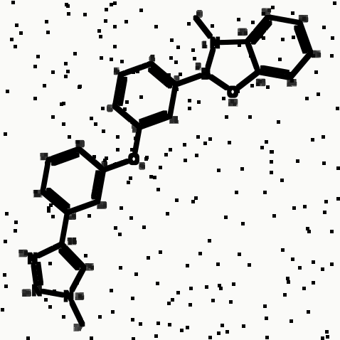 CN1B(c2cccc(Oc3cccc(-c4cn(C)nn4)c3)c2)Oc2ccccc21